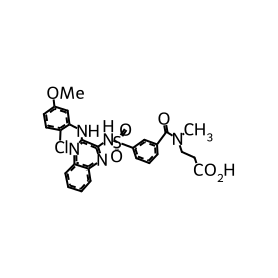 COc1ccc(Cl)c(Nc2nc3ccccc3nc2NS(=O)(=O)c2cccc(C(=O)N(C)CCC(=O)O)c2)c1